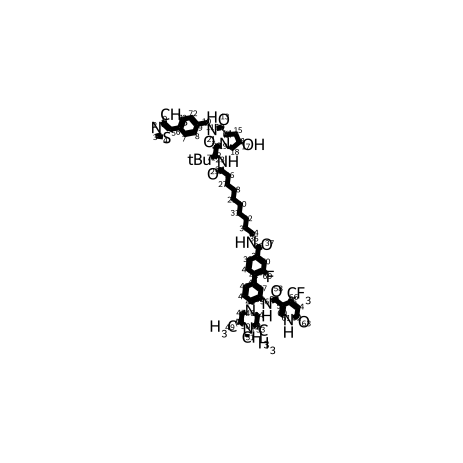 Cc1ncsc1-c1ccc(CNC(=O)[C@@H]2C[C@@H](O)CN2C(=O)C(NC(=O)CCCCCCCCCNC(=O)c2ccc(-c3ccc(N4C[C@@H](C)N(C)[C@@H](C)C4)c(NC(=O)c4c[nH]c(=O)cc4C(F)(F)F)c3)c(F)c2)C(C)(C)C)cc1